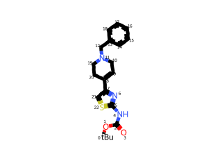 CC(C)(C)OC(=O)Nc1nc(C2=CCN(Cc3ccccc3)CC2)cs1